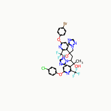 CC(O)(c1ccc(Oc2ccc(Cl)cc2)nc1C(F)(F)F)C(CC(O)(Cn1cncn1)c1ccc(Oc2ccc(Br)cc2)nc1C(F)(F)F)n1cncn1